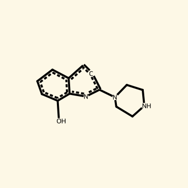 Oc1cccc2ccc(N3CCNCC3)nc12